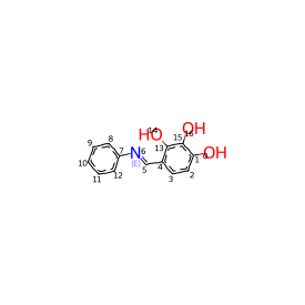 Oc1ccc(/C=N/c2ccccc2)c(O)c1O